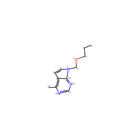 CCCOCn1ccc2c(C)ncnc21